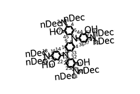 CCCCCCCCCCN(CCCCCCCCCC)c1ccc(N(c2ccc(N(c3ccc(N(CCCCCCCCCC)CCCCCCCCCC)c(O)c3)c3ccc(N(CCCCCCCCCC)CCCCCCCCCC)c(O)c3)cc2)c2ccc(N(CCCCCCCCCC)CCCCCCCCCC)c(O)c2)cc1O